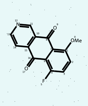 COc1ccc(F)c2c1C(=O)c1cnccc1C2=O